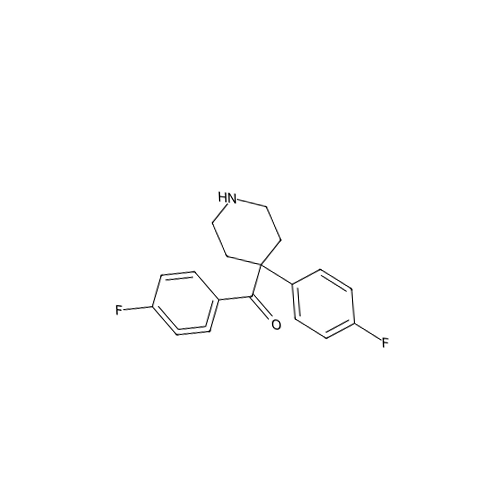 O=C(C1=C=C=C(F)C=C1)C1(c2ccc(F)cc2)CCNCC1